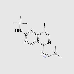 CN(C)/C=N\c1ncc(I)c2nc(NC(C)(C)C)ncc12